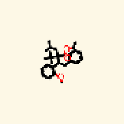 CCOC(=O)C(CC(C)C)(C(Cc1ccccc1)c1ccccc1OC)C(C)(C)C